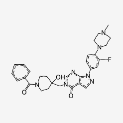 CN1CCN(c2ccc(-n3ncc4c(=O)n(CC5(O)CCN(C(=O)c6ccccc6)CC5)cnc43)cc2F)CC1